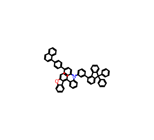 c1ccc(C2(c3ccccc3)c3ccccc3-c3c(-c4cccc(N(c5ccc(-c6ccc(-c7cccc8ccccc78)cc6)cc5)c5ccccc5-c5cccc6oc7ccccc7c56)c4)cccc32)cc1